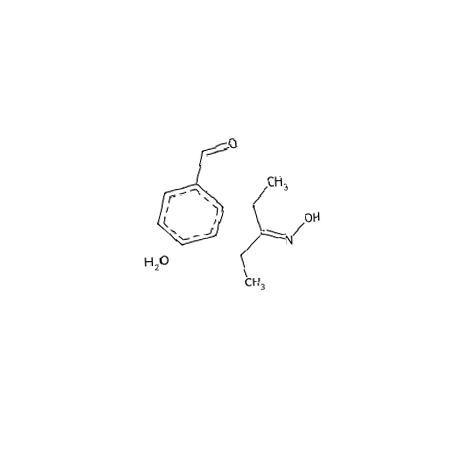 CCC(CC)=NO.O.O=Cc1ccccc1